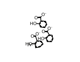 O=C([O-])c1ccccc1O.O=C([O-])c1ccccc1O.O=C([O-])c1ccccc1O.[Pr+3]